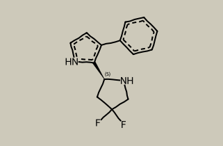 FC1(F)CN[C@H](c2[nH]ccc2-c2ccccc2)C1